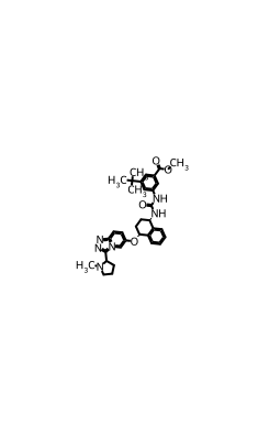 COC(=O)c1cc(NC(=O)N[C@H]2CC[C@@H](Oc3ccc4nnc(C5CCCN5C)n4c3)c3ccccc32)cc(C(C)(C)C)c1